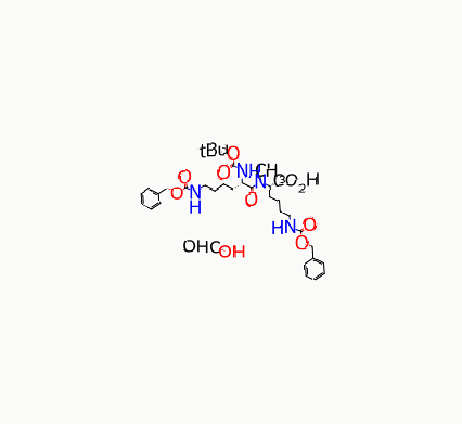 CN(C(=O)[C@H](CCCCNC(=O)OCc1ccccc1)NC(=O)OC(C)(C)C)[C@@H](CCCCNC(=O)OCc1ccccc1)C(=O)O.O=CO